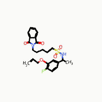 C=CCOc1cc(C(C)NS(=O)(=O)CCCCCN2C(=O)c3ccccc3C2=O)ccc1F